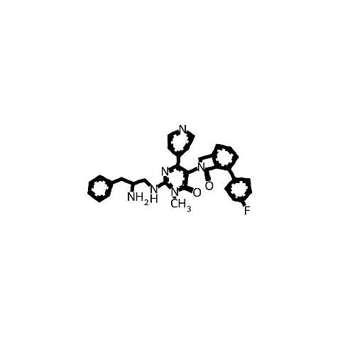 Cn1c(NCC(N)Cc2ccccc2)nc(-c2ccncc2)c(N2Cc3cccc(-c4ccc(F)cc4)c3C2=O)c1=O